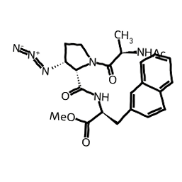 COC(=O)[C@H](Cc1ccc2ccccc2c1)NC(=O)[C@@H]1[C@H](N=[N+]=[N-])CCN1C(=O)[C@@H](C)NC(C)=O